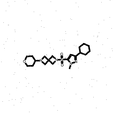 Cn1nc(C2CCCCC2)cc1S(=O)(=O)N1CC2(CN(C3CCOCC3)C2)C1